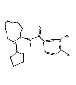 CN(C(=O)c1ccc(Br)c(Br)c1)[C@@H]1CCCCC[C@@H]1N1CCCC1